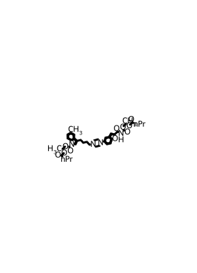 CCCC(=O)OC(C)OC(=O)NC(=O)c1cc2cc(N3CCN(CCCCc4cn(C(=O)OC(C)OC(=O)CCC)c5ccc(C)cc45)CC3)ccc2o1